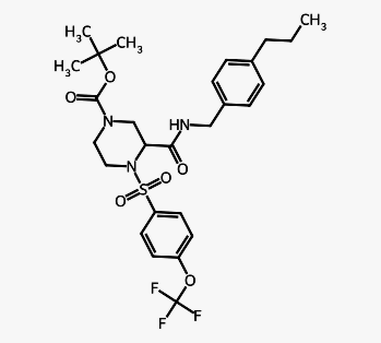 CCCc1ccc(CNC(=O)C2CN(C(=O)OC(C)(C)C)CCN2S(=O)(=O)c2ccc(OC(F)(F)F)cc2)cc1